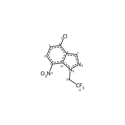 O=[N+]([O-])c1ccc(Cl)c2cnn(CC(F)(F)F)c12